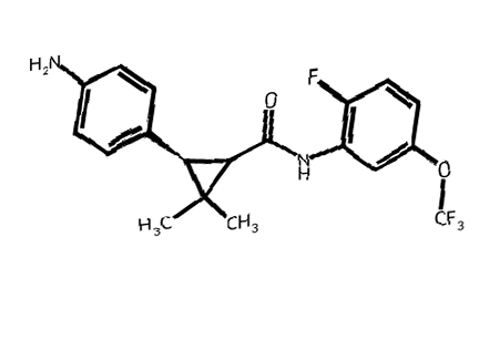 CC1(C)C(C(=O)Nc2cc(OC(F)(F)F)ccc2F)[C@@H]1c1ccc(N)cc1